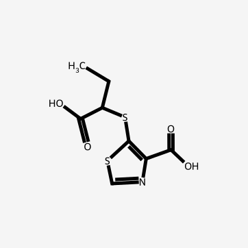 CCC(Sc1scnc1C(=O)O)C(=O)O